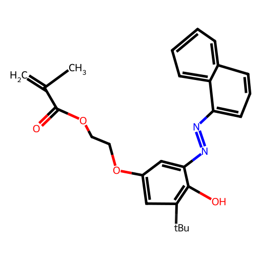 C=C(C)C(=O)OCCOc1cc(N=Nc2cccc3ccccc23)c(O)c(C(C)(C)C)c1